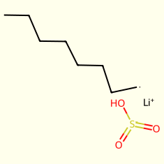 O=[S-](=O)O.[CH2]CCCCCCC.[Li+]